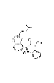 CCOC(=O)c1c(-c2ccccc2)oc2ccc3c(c12)CN(CCC(C)C)CO3